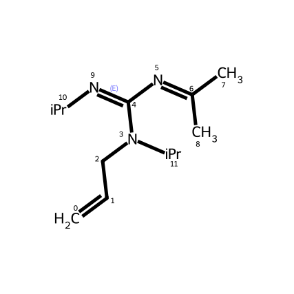 C=CCN(/C(N=C(C)C)=N\C(C)C)C(C)C